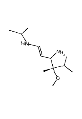 CO[C@@](C)(C(C)C)C(N)/C=C/NC(C)C